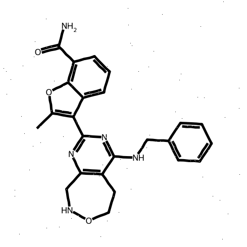 Cc1oc2c(C(N)=O)cccc2c1-c1nc2c(c(NCc3ccccc3)n1)CCONC2